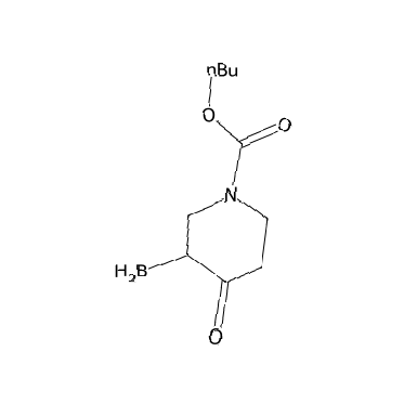 BC1CN(C(=O)OCCCC)CCC1=O